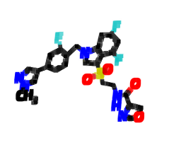 Cn1cc(-c2ccc(Cn3cc(S(=O)(=O)CCNC(=O)c4cocn4)c4c(F)cc(F)cc43)c(F)c2)cn1